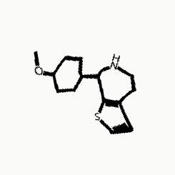 COC1CCC(C2NCCc3ccsc32)CC1